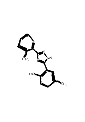 Cc1ccc(O)c(-c2nc(-c3ncccc3C)n[nH]2)c1